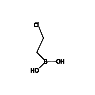 OB(O)CCCl